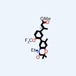 CCN1C(=O)C(C)(C)Oc2cc(C)c(-c3cc(/C(C)=C/C(=O)OC)ccc3OC(F)(F)F)cc21